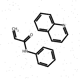 C=CC(=O)Nc1ccccc1.c1ccc2ncccc2c1